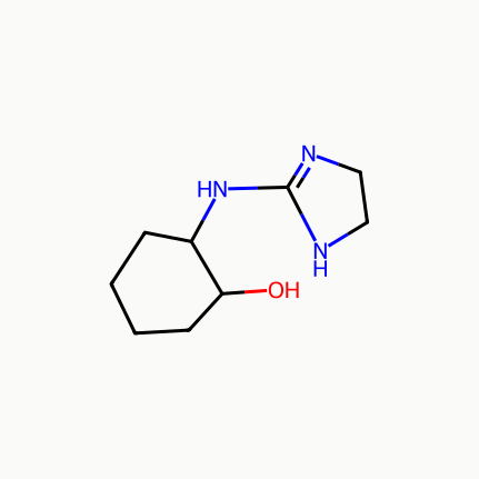 OC1CCCCC1NC1=NCCN1